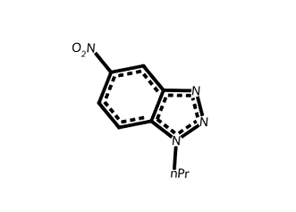 CCCn1nnc2cc([N+](=O)[O-])ccc21